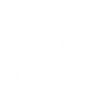 Nc1nc(C(=NOC2(C(=O)O)CCC2)C(=O)NC2C(=O)N(c3nnn[nH]3)C2CF)cs1